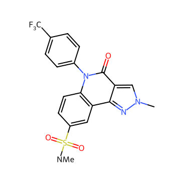 CNS(=O)(=O)c1ccc2c(c1)c1nn(C)cc1c(=O)n2-c1ccc(C(F)(F)F)cc1